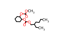 CCCCC(CC)COC(=O)OC1CCCCC1OC(=O)OC